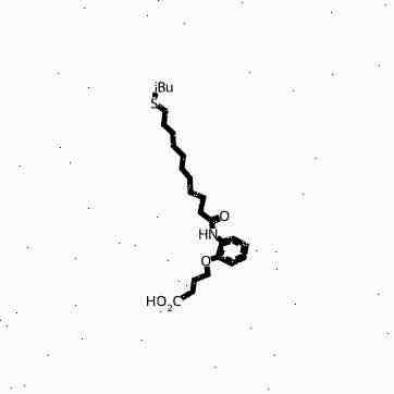 CCC(C)SCCCCCCCCCCC(=O)Nc1ccccc1OCCCC(=O)O